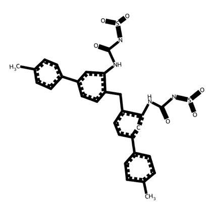 Cc1ccc(-c2ccc(Cc3ccc(-c4ccc(C)cc4)cc3NC(=O)N=S(=O)=O)c(NC(=O)N=S(=O)=O)c2)cc1